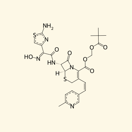 Cc1ccc(/C=C\C2=C(C(=O)OCOC(=O)C(C)(C)C)N3C(=O)[C@@H](NC(=O)C(=NO)c4csc(N)n4)[C@@H]3SC2)cn1